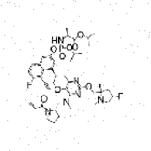 C#Cc1c(F)ccc2cc(OP(=O)(N[C@@H](C)C(=O)OC(C)C)OC(C)C)cc([C@@H]3COc4c(nc(OC[C@]5(C)C[C@@H](F)CN5C)nc4N(C)C[C@@H]4CCCN4C(=O)C=C)C3)c12